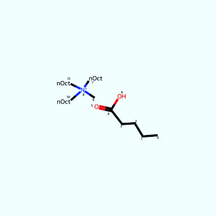 CCCCC(=O)O.CCCCCCCC[N+](C)(CCCCCCCC)CCCCCCCC